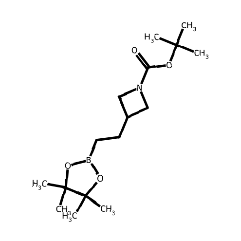 CC(C)(C)OC(=O)N1CC(CCB2OC(C)(C)C(C)(C)O2)C1